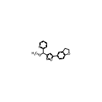 COC(c1ccccn1)c1cc(-c2ccc3c(c2)CCO3)on1